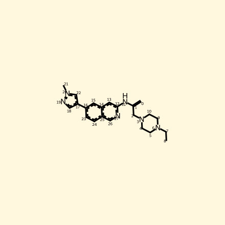 C=C(CN1CCN(CC)CC1)Nc1cc2cc(-c3cnn(C)c3)ccc2cn1